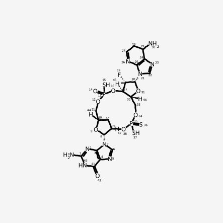 Nc1nc2c(ncn2[C@@H]2O[C@@H]3COP(=O)(S)O[C@H]4[C@H](F)[C@H](n5cnc6c5N=CCC6N)O[C@@H]4COP(=S)(S)O[C@@H]2C3)c(=O)[nH]1